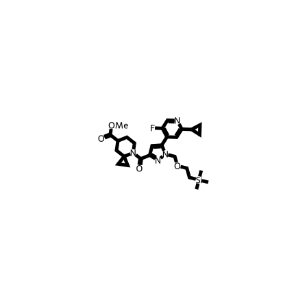 COC(=O)C1CCN(C(=O)c2cc(-c3cc(C4CC4)ncc3F)n(COCC[Si](C)(C)C)n2)C2(CC2)C1